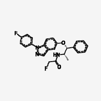 C[C@H](NC(=O)CF)[C@H](Oc1ccc2c(cnn2-c2ccc(F)cc2)c1)c1ccccc1